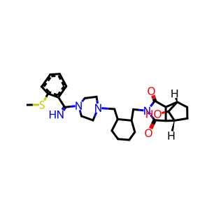 CSc1ccccc1C(=N)N1CCN(CC2CCCCC2CN2C(=O)C3C(C2=O)[C@@H]2CC[C@H]3C2O)CC1